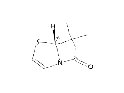 CC1(C)C(=O)N2C=CS[C@@H]21